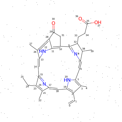 C=Cc1c(C)c2cc3nc(c4c5[nH]c(cc6nc(cc1[nH]2)C(C)=C6CC)c(C)c5C(=O)C4)C(CCC(=O)O)C3C